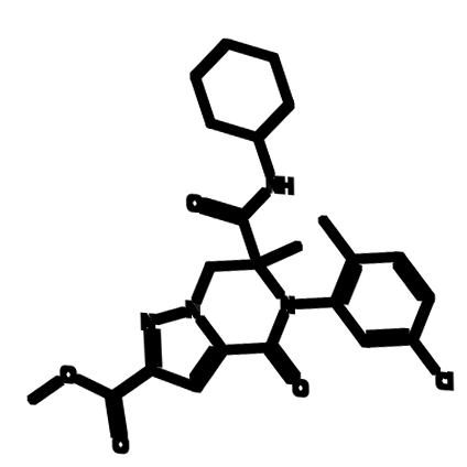 COC(=O)c1cc2n(n1)CC(C)(C(=O)NC1CCCCC1)N(c1cc(Cl)ccc1C)C2=O